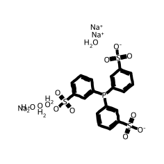 O.O.O.O.O=S(=O)([O-])c1cccc(P(c2cccc(S(=O)(=O)[O-])c2)c2cccc(S(=O)(=O)[O-])c2)c1.[Na+].[Na+].[Na+]